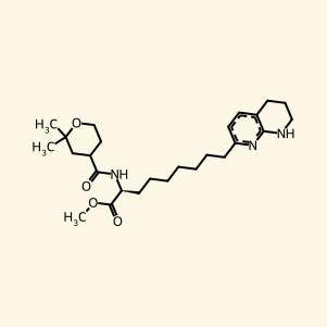 COC(=O)[C@H](CCCCCCCc1ccc2c(n1)NCCC2)NC(=O)C1CCOC(C)(C)C1